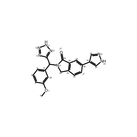 COc1cccc(C(c2nn[nH]n2)N2Cc3ccc(-c4cn[nH]c4)cc3C2=O)c1